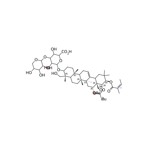 C/C=C(/C)C(=O)O[C@H]1[C@H](OC(=O)C(C)CC)[C@@]2(CO)C(CC1(C)C)C1=CCC3[C@@]4(C)CCC(OC5OC(C(=O)O)C(O)C(OC6OCC(O)C(O)C6O)C5O)[C@@](C)(CO)C4CC[C@@]3(C)[C@]1(C)C[C@H]2OC(C)=O